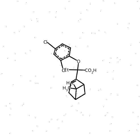 CCC(Oc1ccc(Cl)cc1Cl)(C(=O)O)C1=CCC2CC1C2(C)C